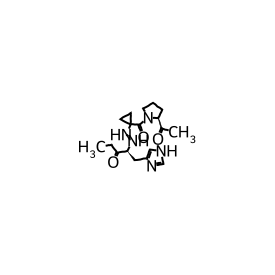 CCC(=O)[C@H](Cc1c[nH]cn1)NNC1(C(=O)N2CCC[C@H]2C(C)=O)CC1